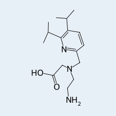 CC(C)c1ccc(CN(CCN)CC(=O)O)nc1C(C)C